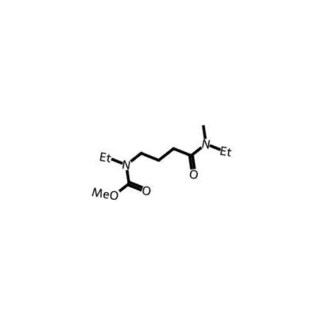 CCN(C)C(=O)CCCN(CC)C(=O)OC